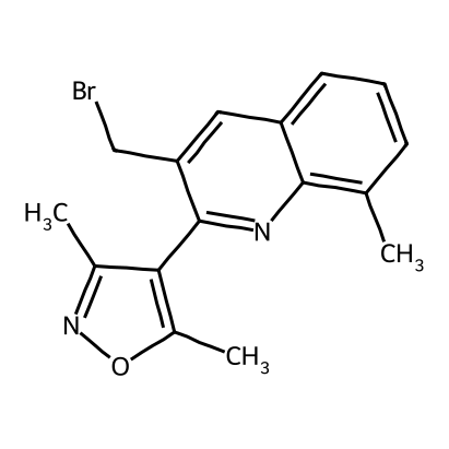 Cc1noc(C)c1-c1nc2c(C)cccc2cc1CBr